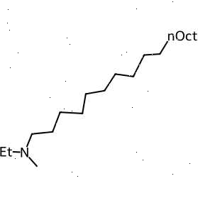 CCCCCCCCCCCCCCCCCCN(C)CC